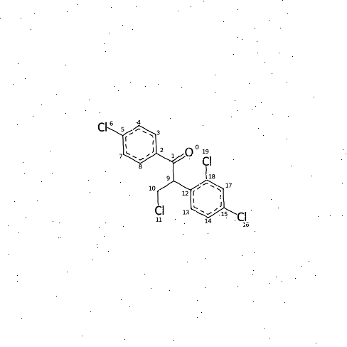 O=C(c1ccc(Cl)cc1)C(CCl)c1ccc(Cl)cc1Cl